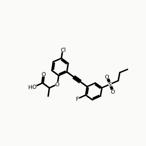 CCCS(=O)(=O)c1ccc(F)c(C#Cc2cc(Cl)ccc2OC(C)C(=O)O)c1